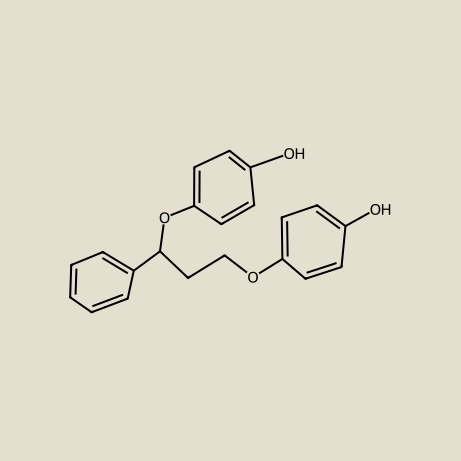 Oc1ccc(OCCC(Oc2ccc(O)cc2)c2ccccc2)cc1